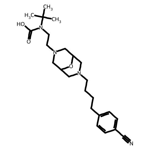 CC(C)(C)N(CCN1CC2CN(CCCCc3ccc(C#N)cc3)CC(C1)O2)C(=O)O